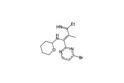 CCC(=N)/C(C)=C(\NC1CCCCO1)c1nccc(Br)n1